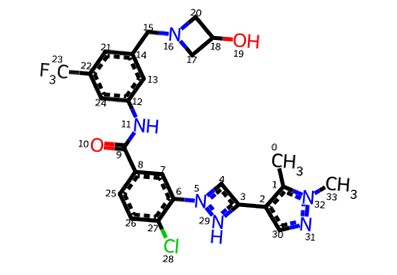 Cc1c(-c2cn(-c3cc(C(=O)Nc4cc(CN5CC(O)C5)cc(C(F)(F)F)c4)ccc3Cl)[nH]2)cnn1C